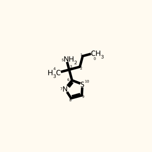 CCCC(C)(N)c1nccs1